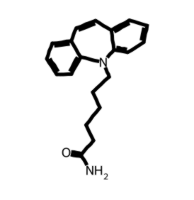 NC(=O)CCCCCN1c2ccccc2C=Cc2ccccc21